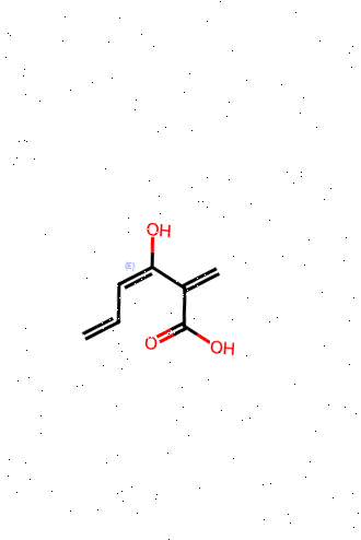 C=C/C=C(/O)C(=C)C(=O)O